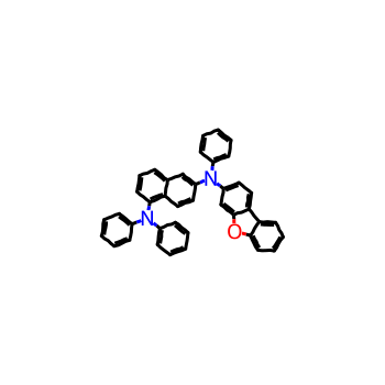 c1ccc(N(c2ccc3c(N(c4ccccc4)c4ccccc4)cccc3c2)c2ccc3c(c2)oc2ccccc23)cc1